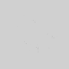 O=[C]N(c1ccc2cc[nH]c2c1)S(=O)(=O)Nc1ccncc1